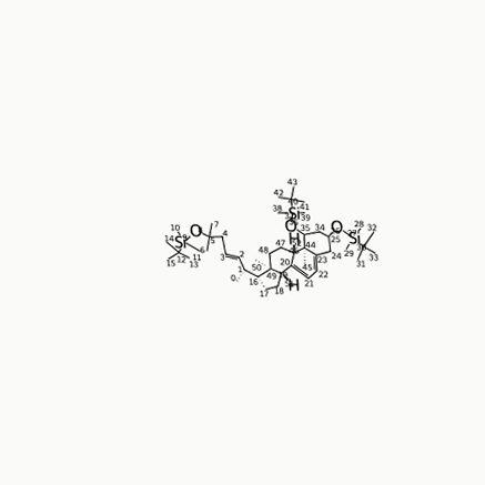 C[C@H](/C=C/CC(C)(C)O[Si](C)(C)C(C)(C)C)[C@H]1CC[C@H]2C3=CC=C4CC(O[Si](C)(C)C(C)(C)C)CC(O[Si](C)(C)C(C)(C)C)[C@]4(C)[C@H]3CC[C@]12C